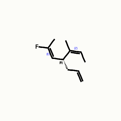 C=CC[C@H](/C=C(\C)F)/C(C)=C\C